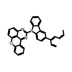 C=C/C(=C\C=C/C)c1ccc2c(c1)c1ccccc1n2-c1nc2c3c(cccc3n1)Oc1ccccc1-2